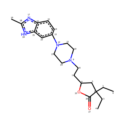 CCC1(CC)CC(CCN2CCN(c3ccc4nc(C)[nH]c4c3)CC2)OC1=O